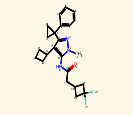 Cn1nc(C2(c3ccccc3)CC2)c(C2CCC2)c1NC(=O)CC1CC(F)(F)C1